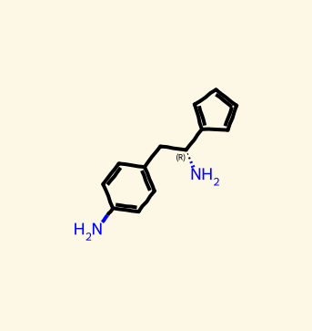 Nc1ccc(C[C@@H](N)C2=CC=C=C2)cc1